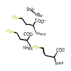 CCCCCCC(CCS)C(=O)[O-].CCCCCCC(CCS)C(=O)[O-].CCCCCCC(CCS)C(=O)[O-].CCC[CH2][Sn+3]